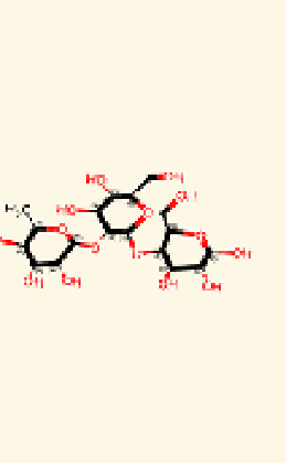 C[C@@H]1O[C@@H](O[C@H]2[C@H](O[C@@H]3[C@H](O)[C@@H](O)[C@H](O)O[C@@H]3CO)O[C@H](CO)[C@@H](O)[C@@H]2O)[C@H](O)[C@H](O)[C@H]1O